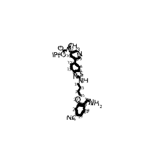 CC(C)OC(=O)N(C)c1cncc(-c2ccc3nc(NCCCCOc4cc(C#N)ccc4CN)sc3c2)c1